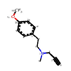 C#CCN(C)CCc1ccc(OC(F)(F)F)cc1